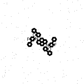 Fc1ccc(N(c2ccc3ccc4c(N(c5ccc(F)c(-c6ccccc6)c5)c5cccc6c5oc5ccccc56)ccc5ccc2c3c54)c2cccc3c2oc2ccccc23)cc1-c1ccccc1